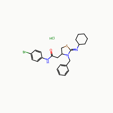 Cl.O=C(CC1CSC(=NC2CCCCC2)N1Cc1ccccc1)Nc1ccc(Br)cc1